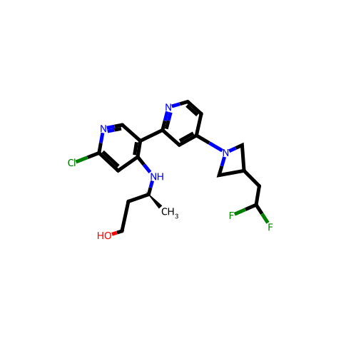 C[C@@H](CCO)Nc1cc(Cl)ncc1-c1cc(N2CC(CC(F)F)C2)ccn1